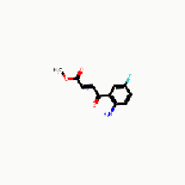 COC(=O)/C=C/C(=O)c1cc(F)ccc1N